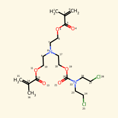 C=C(C)C(=O)OCCN(CCOC(=O)C(=C)C)CCOC(=O)N(CCCl)CCCl